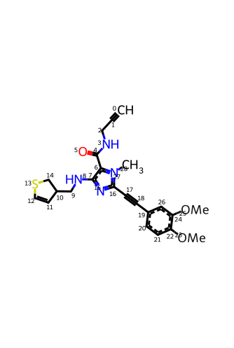 C#CCNC(=O)c1c(NCC2C=CSC2)nc(C#Cc2ccc(OC)c(OC)c2)n1C